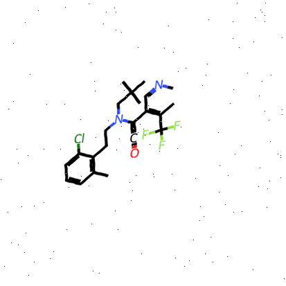 C/N=C\C(C(=C=O)N(CCc1c(C)cccc1Cl)CC(C)(C)C)=C(/C)C(F)(F)F